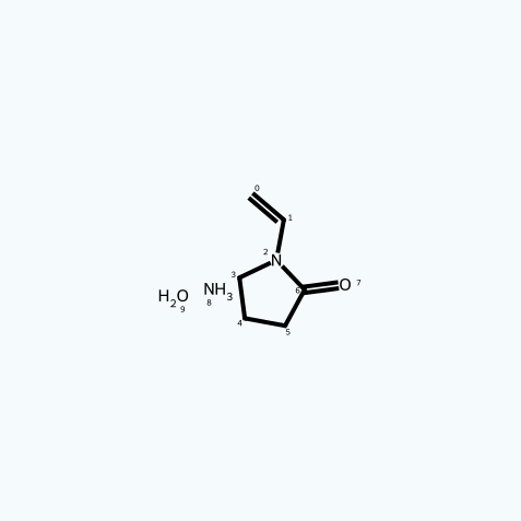 C=CN1CCCC1=O.N.O